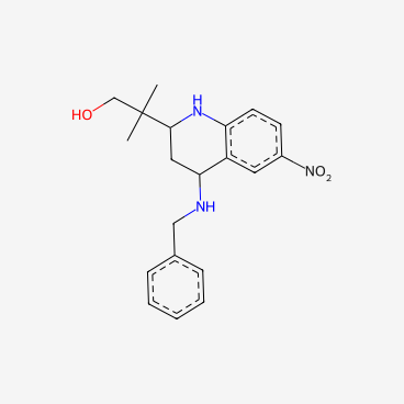 CC(C)(CO)C1CC(NCc2ccccc2)c2cc([N+](=O)[O-])ccc2N1